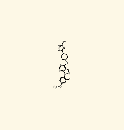 CC(C)c1noc(C2CCC(Oc3ncnc4c3cnn4-c3ccc(OC(F)(F)F)cc3F)CC2)n1